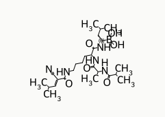 CC(C)C=C(C#N)C(=O)NCCCCC(NC(=O)C(C)NC(=O)C(C)C)C(=O)N[C@@H](CC(C)C)B(O)O